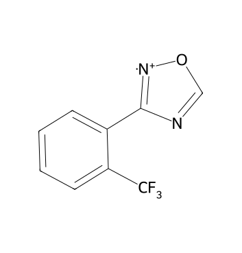 FC(F)(F)c1ccccc1C1=[N+]OC=N1